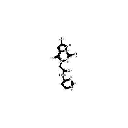 CCc1cc2c(=O)n(CC(=O)Nc3ccncn3)nc(CC)n2n1